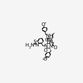 CCCN(C(=O)NCc1ccc(OC)cc1)N1CC(=O)N2[C@@H](Cc3ccc(OC)cc3)C(=O)N(Cc3cccc4sc(N)nc34)C[C@@H]21